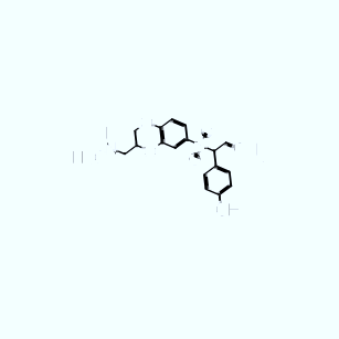 C=CC(c1ccc(C)cc1)S(=O)(=O)c1ccc2c(c1)OC(CNC)CO2